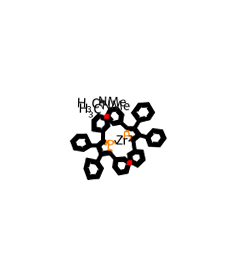 C[N-]C.C[N-]C.c1ccc(-c2c(-c3ccccc3)c(-c3ccccc3)[p]([Zr+2][p]3c(-c4ccccc4)c(-c4ccccc4)c(-c4ccccc4)c3-c3ccccc3)c2-c2ccccc2)cc1